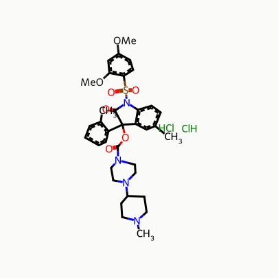 COc1ccc(S(=O)(=O)N2C(=O)C(OC(=O)N3CCN(C4CCN(C)CC4)CC3)(c3ccccc3C)c3cc(C)ccc32)c(OC)c1.Cl.Cl